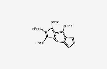 CCCCCC1=C(CCCCC)c2cc3c(c(CCCCC)c2=C1CCCCC)C=CC=3